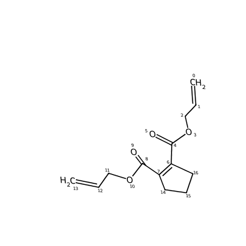 C=CCOC(=O)C1=C(C(=O)OCC=C)CCC1